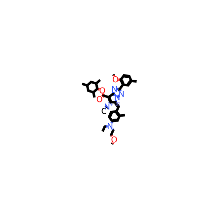 [C-]#[N+]c1c(C(=O)OC2C(C)CC(C)CC2C)c2nc(-c3cc(C)ccc3OC)nn2/c1=C/c1ccc(N(CC)CCOC)cc1C